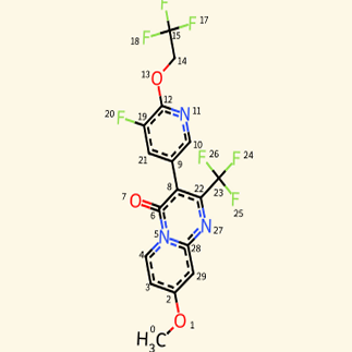 COc1ccn2c(=O)c(-c3cnc(OCC(F)(F)F)c(F)c3)c(C(F)(F)F)nc2c1